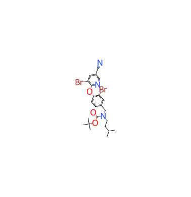 CC(C)CCN(Cc1ccc(Oc2ncc(C#N)cc2Br)c(Br)c1)C(=O)OC(C)(C)C